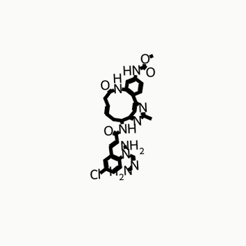 COC(=O)Nc1ccc2c(c1)NC(=O)C/C=C/CC(NC(=O)/C=C/c1cc(Cl)ccc1N(N)/C=N\N)c1cc-2nc(C)n1